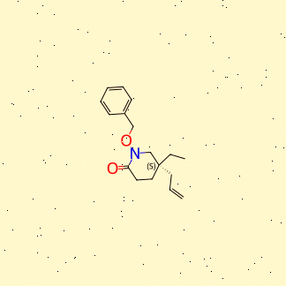 C=CC[C@]1(CC)CCC(=O)N(OCc2ccccc2)C1